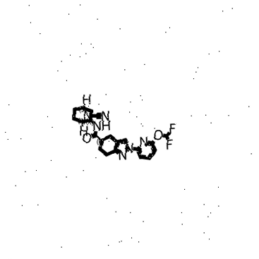 N#CN1[C@H]2CC[C@@H]1[C@H](NC(=O)[C@@H]1CCc3nn(-c4cccc(OC(F)F)n4)cc3C1)C2